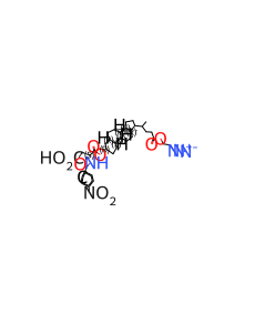 CC(CCC(=O)OCCN=[N+]=[N-])C1CC[C@H]2[C@@H]3CC[C@@H]4C[C@H](OC(=O)[C@H](CC(=O)O)NC(=O)c5ccc([N+](=O)[O-])cc5)CC[C@]4(C)[C@H]3CC[C@]12C